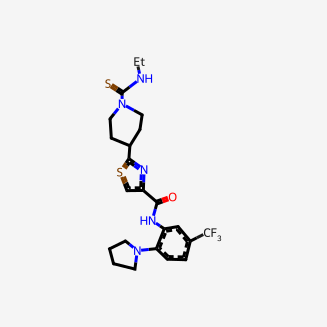 CCNC(=S)N1CCC(c2nc(C(=O)Nc3cc(C(F)(F)F)ccc3N3CCCC3)cs2)CC1